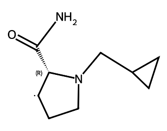 NC(=O)[C@H]1[CH]CCN1CC1CC1